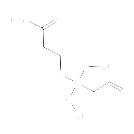 CCCCCC(=O)CCO[Si](CC=S)(OCC)OCC